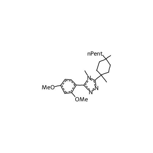 CCCCCC1(C)CCC(C)(c2nnc(-c3ccc(OC)cc3OC)n2C)CC1